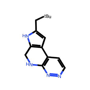 CC(C)(C)Cc1cc2c([nH]1)CNc1nnccc1-2